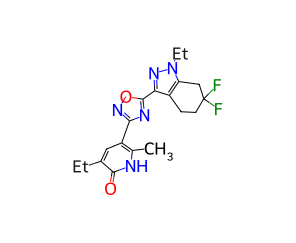 CCc1cc(-c2noc(-c3nn(CC)c4c3CCC(F)(F)C4)n2)c(C)[nH]c1=O